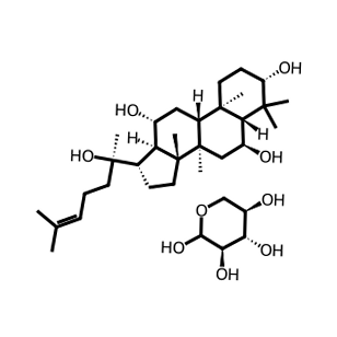 CC(C)=CCC[C@@](C)(O)[C@H]1CC[C@]2(C)[C@@H]1[C@H](O)C[C@@H]1[C@@]3(C)CC[C@H](O)C(C)(C)[C@@H]3[C@@H](O)C[C@]12C.OC1OC[C@@H](O)[C@H](O)[C@H]1O